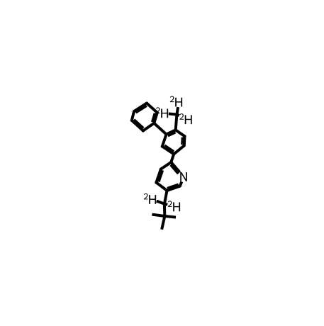 [2H]C([2H])([2H])c1ccc(-c2ccc(C([2H])([2H])C(C)(C)C)cn2)cc1-c1ccccc1